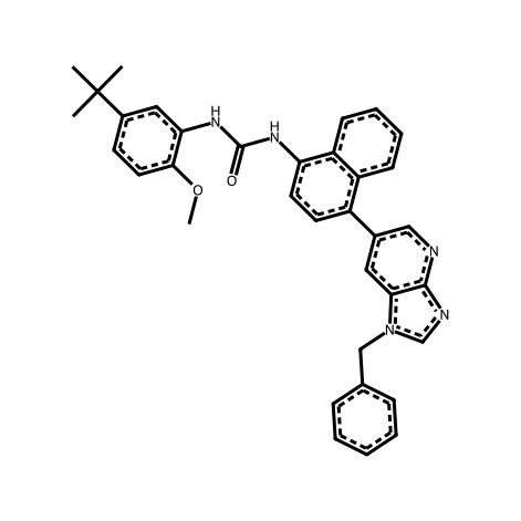 COc1ccc(C(C)(C)C)cc1NC(=O)Nc1ccc(-c2cnc3ncn(Cc4ccccc4)c3c2)c2ccccc12